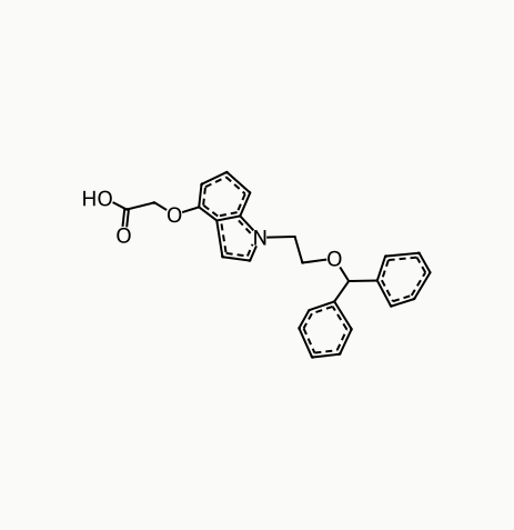 O=C(O)COc1cccc2c1ccn2CCOC(c1ccccc1)c1ccccc1